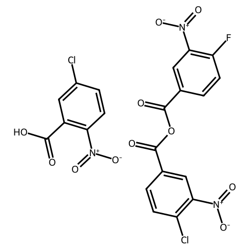 O=C(O)c1cc(Cl)ccc1[N+](=O)[O-].O=C(OC(=O)c1ccc(Cl)c([N+](=O)[O-])c1)c1ccc(F)c([N+](=O)[O-])c1